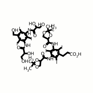 CC1(C)OCC(C(=O)Nc2c(I)c(CCC(=O)O)c(I)c(NC(=O)C3COC(C)(C)O3)c2I)O1.O=C(Nc1c(I)c(CO)c(I)c(NC(=O)C(O)CO)c1I)C(O)CO